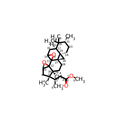 COC(=O)C[C@@H](C)[C@]1(C)CC2OC23C24OC2C[C@H]2C(C)(C)[C@H](C)CC[C@@]25C[C@@]45CC[C@@]31C